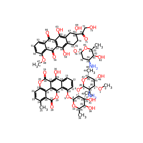 CO[C@@H]1[C@@H](N)[C@@H](O[C@H]2[C@H](Oc3cccc4c(O)c5c(=O)oc6ccc(C)c7c(=O)oc(c34)c5c67)O[C@H](C)[C@H](O)[C@]2(C)O)O[C@H](C)[C@@H]1O.COc1cccc2c1C(=O)c1c(O)c3c(c(O)c1C2=O)C[C@@](O)(C(=O)CO)C[C@@H]3O[C@H]1C[C@H](N)[C@H](O)[C@H](C)O1